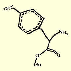 CC(C)(C)OC(=O)C(N)c1ccc([C]=O)cc1